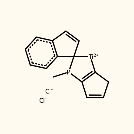 CP1C2=[C](CC=C2)[Ti+2][C]12C=Cc1ccccc12.[Cl-].[Cl-]